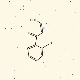 [O]c1ccccc1C(=O)/C=C\[C]=O